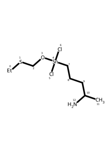 CCSC[O][Sn]([Cl])([Cl])[CH2]CCC(C)N